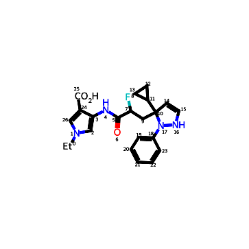 CCn1cc(NC(=O)C(F)CC2(C3CC3)C=CNN2c2ccccc2)c(C(=O)O)c1